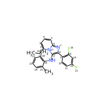 CCc1cccc2nc(-c3ccc(F)cc3F)c(Nc3c(C)cccc3C)n12